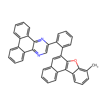 Cc1cccc2c1oc1c(-c3ccccc3-c3cnc4c5ccccc5c5ccccc5c4n3)cc3ccccc3c12